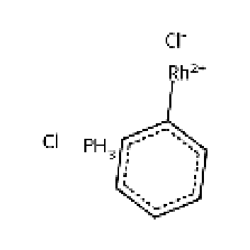 P.[Cl-].[Cl-].[Rh+2][c]1ccccc1